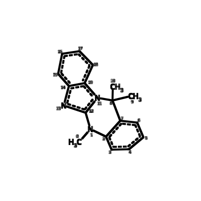 CN1c2ccccc2C(C)(C)n2c1nc1ccccc12